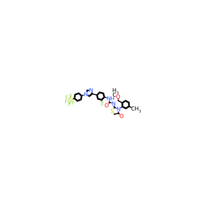 COCc1ccc(C)cc1N1C(=O)CSC1=NC(=O)Nc1ccc(-c2cn(-c3ccc(S(F)(F)(F)(F)F)cc3)cn2)cc1F